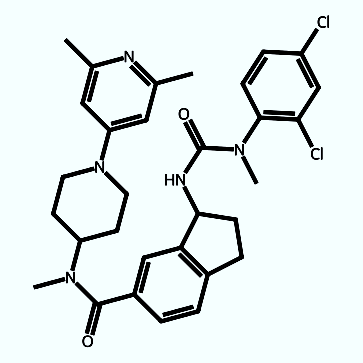 Cc1cc(N2CCC(N(C)C(=O)c3ccc4c(c3)C(NC(=O)N(C)c3ccc(Cl)cc3Cl)CC4)CC2)cc(C)n1